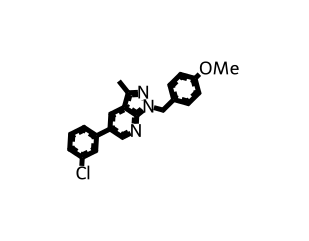 COc1ccc(Cn2nc(C)c3cc(-c4cccc(Cl)c4)cnc32)cc1